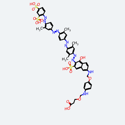 Cc1cc(N=Nc2cc(C)c(N=Nc3c(S(=O)(=O)O)cc4cc(NCOc5ccc(NCOCCC(=O)O)cc5)ccc4c3O)cc2C)ccc1N=Nc1ccc(N=Nc2ccc(S(=O)(=O)O)cc2S(=O)(=O)O)c(C)c1